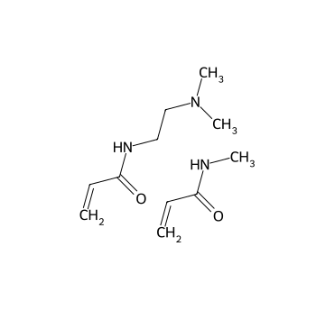 C=CC(=O)NC.C=CC(=O)NCCN(C)C